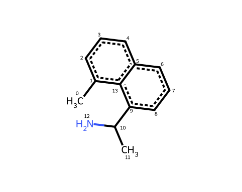 Cc1cccc2cccc(C(C)N)c12